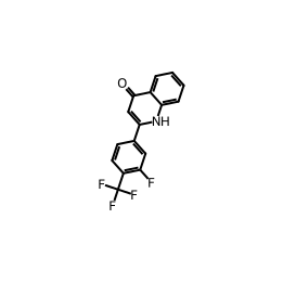 O=c1cc(-c2ccc(C(F)(F)F)c(F)c2)[nH]c2ccccc12